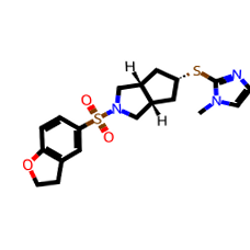 Cn1ccnc1S[C@@H]1C[C@@H]2CN(S(=O)(=O)c3ccc4c(c3)CCO4)C[C@@H]2C1